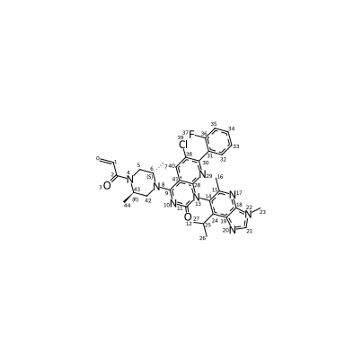 C=CC(=O)N1C[C@H](C)N(c2nc(=O)n(-c3c(C)nc4c(ncn4C)c3C(C)C)c3nc(-c4ccccc4F)c(Cl)cc23)C[C@H]1C